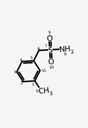 Cc1cccc(CS(N)(=O)=O)c1